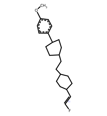 COc1ccc(C2CCC(CCC3CCC(/C=C/F)CC3)CC2)cc1